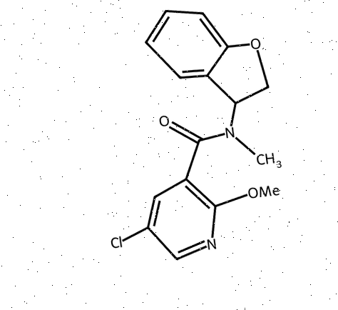 COc1ncc(Cl)cc1C(=O)N(C)C1COc2ccccc21